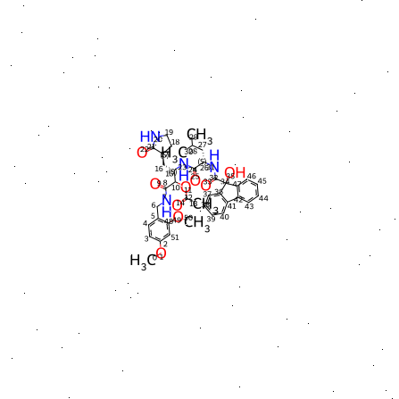 COc1ccc(CNC(=O)C(OC(C)=O)[C@H](C[C@@H]2CCNC2=O)NC(=O)[C@H](CC(C)C)NC(=O)C2(O)c3ccccc3-c3ccccc32)c(OC)c1